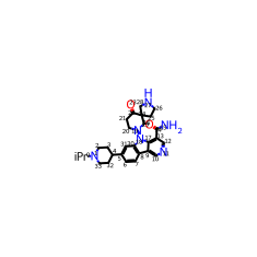 CC(C)N1CCC(c2ccc3c4cncc(C(N)=O)c4n(N4CCC(=O)C5(CCNC5)C4)c3c2)CC1